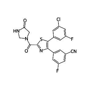 N#Cc1cc(F)cc(-c2nc(C(=O)N3CNC(=O)C3)sc2-c2cc(F)cc(Cl)c2)c1